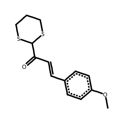 COc1ccc(C=CC(=O)C2SCCCS2)cc1